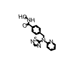 O=C(NO)c1ccc(CN(c2ccccn2)c2ncns2)cc1